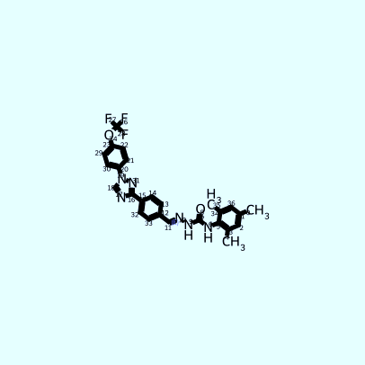 Cc1cc(C)c(NC(=O)N/N=C/c2ccc(-c3ncn(-c4ccc(OC(F)(F)F)cc4)n3)cc2)c(C)c1